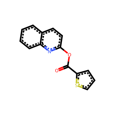 O=C(Oc1ccc2ccccc2n1)c1cccs1